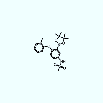 Cc1ccccc1Oc1ccc(NS(C)(=O)=O)cc1B1OC(C)(C)C(C)(C)O1